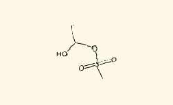 [CH2]C(O)OS(C)(=O)=O